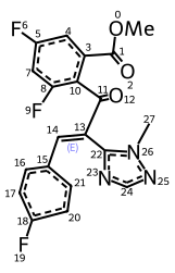 COC(=O)c1cc(F)cc(F)c1C(=O)/C(=C/c1ccc(F)cc1)c1ncnn1C